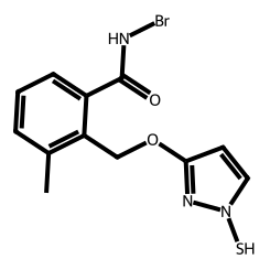 Cc1cccc(C(=O)NBr)c1COc1ccn(S)n1